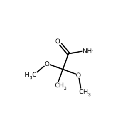 COC(C)(OC)C([NH])=O